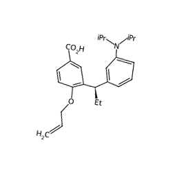 C=CCOc1ccc(C(=O)O)cc1[C@H](CC)c1cccc(N(C(C)C)C(C)C)c1